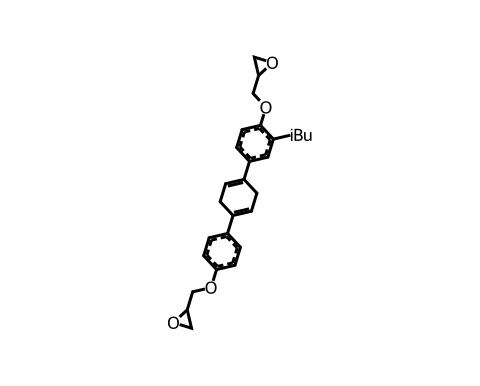 CCC(C)c1cc(C2=CCC(c3ccc(OCC4CO4)cc3)=CC2)ccc1OCC1CO1